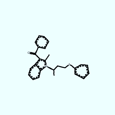 Cc1c(C(=O)c2ccccc2)c2ccccc2n1C(C)CCSc1ccccc1